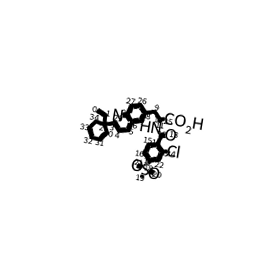 C=CC1(c2ccc3cc(CC(NC(=O)c4ccc(S(C)(=O)=O)cc4Cl)C(=O)O)ccc3n2)C=CC=CC1